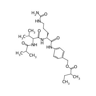 CCC(C)C(=O)OCc1ccc(NC(=O)[C@H](CCCNC(N)=O)NC(=O)C(NC(=O)C(C)C)C(C)C)cc1